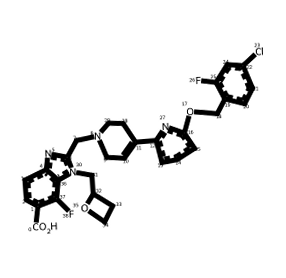 O=C(O)c1ccc2nc(CN3CC=C(c4cccc(OCc5ccc(Cl)cc5F)n4)CC3)n(CC3CCO3)c2c1F